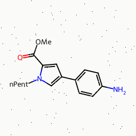 CCCCCn1cc(-c2ccc(N)cc2)cc1C(=O)OC